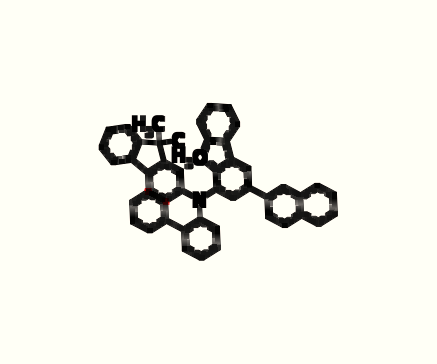 CC1(C)c2ccccc2-c2ccc(N(c3ccccc3-c3ccccc3)c3cc(-c4ccc5ccccc5c4)cc4c3oc3ccccc34)cc21